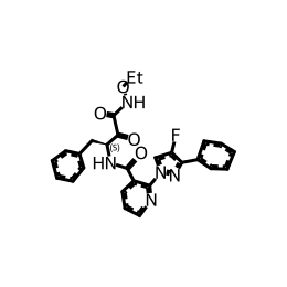 CCONC(=O)C(=O)[C@H](Cc1ccccc1)NC(=O)c1cccnc1-n1cc(F)c(-c2ccccc2)n1